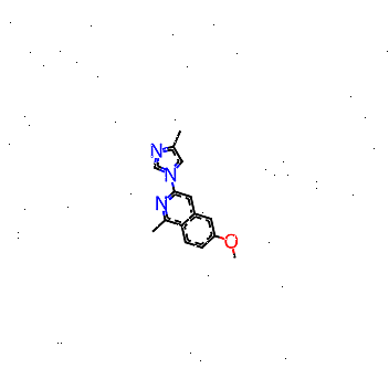 COc1ccc2c(C)nc(-n3cnc(C)c3)cc2c1